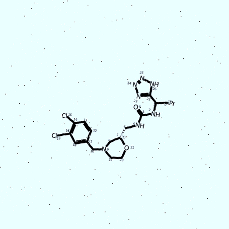 CC(C)C(NC(=O)NC[C@H]1CN(Cc2ccc(Cl)c(Cl)c2)CCO1)c1nnn[nH]1